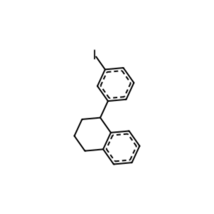 Ic1cccc(C2CCCc3ccccc32)c1